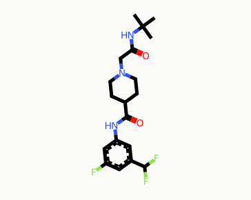 CC(C)(C)NC(=O)CN1CCC(C(=O)Nc2cc(F)cc(C(F)F)c2)CC1